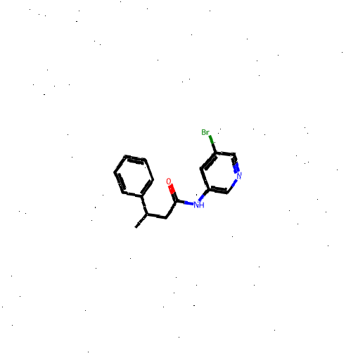 CC(CC(=O)Nc1cncc(Br)c1)c1ccccc1